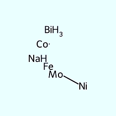 [BiH3].[Co].[Fe].[NaH].[Ni][Mo]